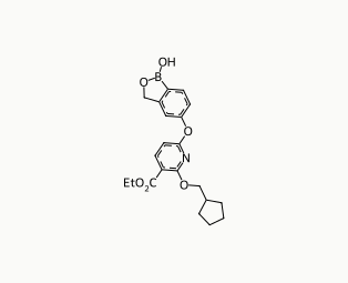 CCOC(=O)c1ccc(Oc2ccc3c(c2)COB3O)nc1OCC1CCCC1